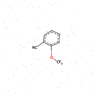 N#Cc1cc[c]cc1OC(F)(F)F